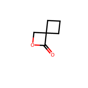 O=C1OCC12CCC2